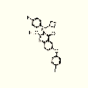 Cc1nc2ccc(Oc3ccc(F)cc3)cc2c(=O)n1[C@@H](c1ccc(F)cc1)C1CCC1